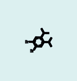 CC(C)c1cc(Br)c(Br)cc1C(C)C